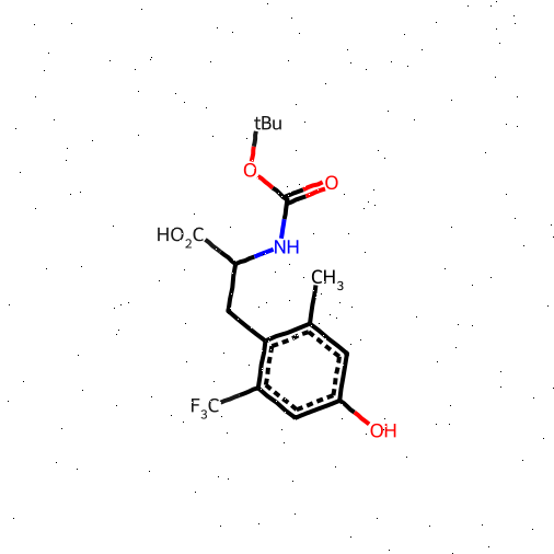 Cc1cc(O)cc(C(F)(F)F)c1CC(NC(=O)OC(C)(C)C)C(=O)O